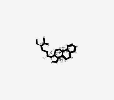 CC[C@H](CC[C@@H](C)[C@H]1CC[C@H]2C3=CC=C4C=CC=C[C@]4(C)[C@H]3CC[C@]12C)C(C)C